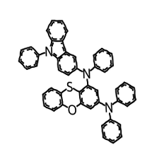 c1ccc(N(c2ccccc2)c2cc3c(c(N(c4ccccc4)c4ccc5c(c4)c4ccccc4n5-c4ccccc4)c2)Sc2ccccc2O3)cc1